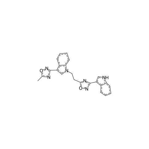 Cc1nc(-c2cn(CCc3nc(-c4c[nH]c5ccccc45)no3)c3ccccc23)no1